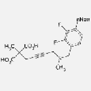 CCCCCCCCCc1ccc(CN(C)CC#CCC(C)(C(=O)O)C(=O)O)c(F)c1F